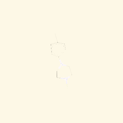 Cc1ccc(N2CCN(F)CC2)cc1